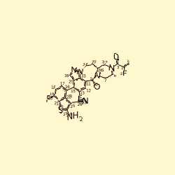 C=C(F)C(=O)N1CCN2C(=O)c3cc(F)c(-c4ccc(F)c5sc(N)c(C#N)c45)c4cnn(c34)CCC2C1